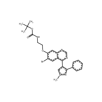 Cn1cc(-c2ncnc3cc(OCCNC(=O)OC(C)(C)C)c(Br)cc23)c(-c2ccccc2)n1